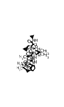 C[C@H](C1CC1)N(C)S(=O)(=O)CC1(NC(=O)N[C@H](C(=O)N2C[C@H]3[C@@H]([C@H]2C(=O)N[C@@H](CC2CC2)C(=O)C(=O)NC2CC2)C3(C)C)C(C)(C)C)CCCCC1